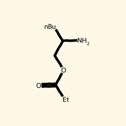 CCCCC(N)COC(=O)CC